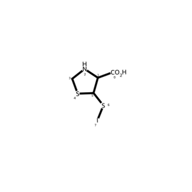 O=C(O)C1NCSC1SI